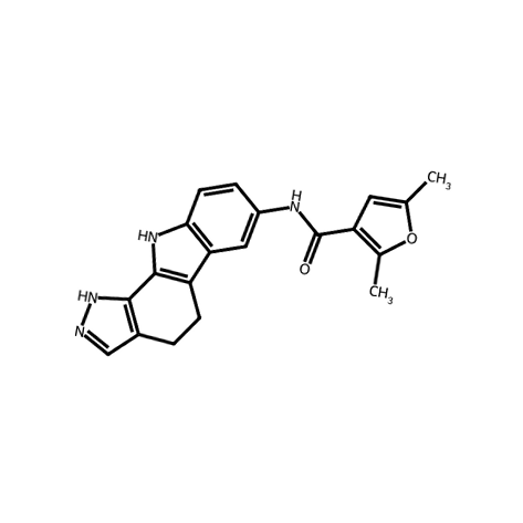 Cc1cc(C(=O)Nc2ccc3[nH]c4c(c3c2)CCc2cn[nH]c2-4)c(C)o1